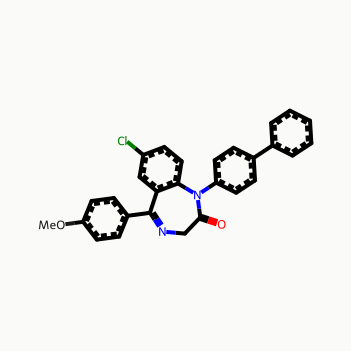 COc1ccc(C2=NCC(=O)N(c3ccc(-c4ccccc4)cc3)c3ccc(Cl)cc32)cc1